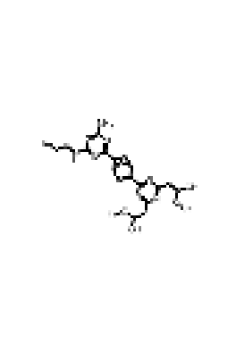 CCOC(O)Cc1nc(CC(O)OCC)nc(C2CC3CC2CC3c2nc(N)nc(NCCO)n2)n1